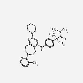 CN(C)C(=O)C(C)(C)c1ccc(Nc2nc(N3CCCCC3)nc3c2CCN(c2ncccc2C(F)(F)F)CC3)cc1